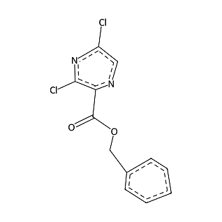 O=C(OCc1ccccc1)c1ncc(Cl)nc1Cl